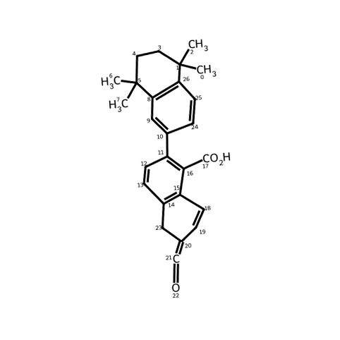 CC1(C)CCC(C)(C)c2cc(-c3ccc4c(c3C(=O)O)C=CC(=C=O)C4)ccc21